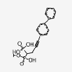 O=P(O)(O)C(CC#Cc1ccc(-c2ccccc2)cc1)P(=O)(O)O